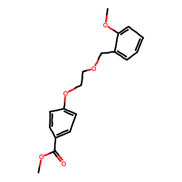 COC(=O)c1ccc(OCCOCc2ccccc2OC)cc1